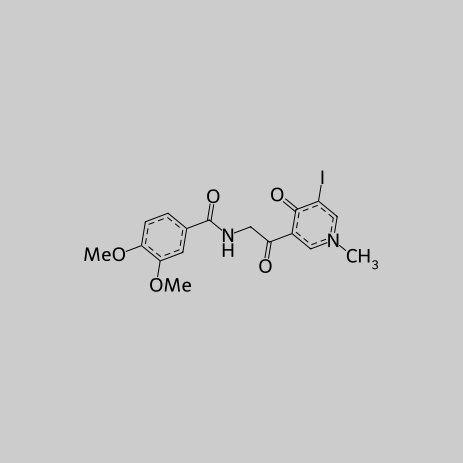 COc1ccc(C(=O)NCC(=O)c2cn(C)cc(I)c2=O)cc1OC